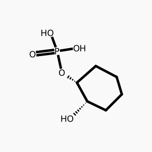 O=P(O)(O)O[C@@H]1CCCC[C@@H]1O